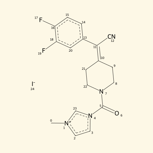 C[n+]1ccn(C(=O)N2CCC(=C(C#N)c3ccc(F)c(F)c3)CC2)c1.[I-]